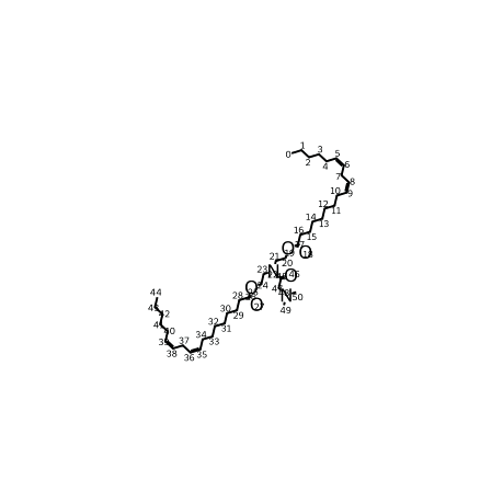 CCCCC/C=C\C/C=C\CCCCCCCC(=O)OCCN(CCOC(=O)CCCCCCC/C=C\C/C=C\CCCCC)C(=O)CN(C)C